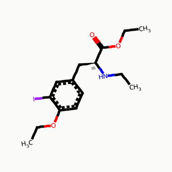 CCN[C@@H](Cc1ccc(OCC)c(I)c1)C(=O)OCC